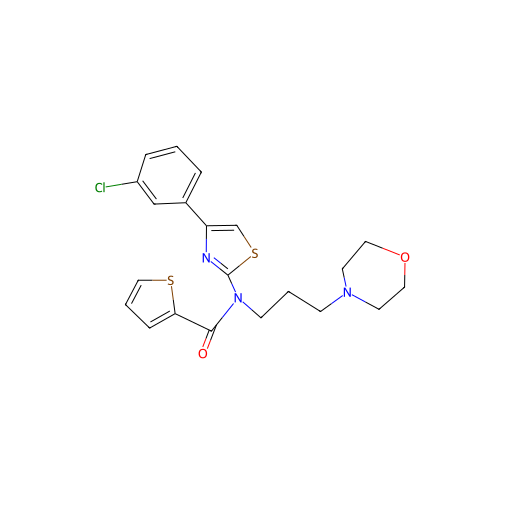 O=C(c1cccs1)N(CCCN1CCOCC1)c1nc(-c2cccc(Cl)c2)cs1